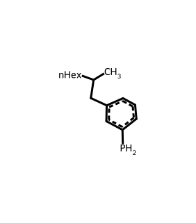 CCCCCCC(C)Cc1cccc(P)c1